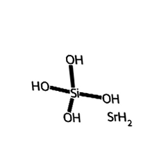 O[Si](O)(O)O.[SrH2]